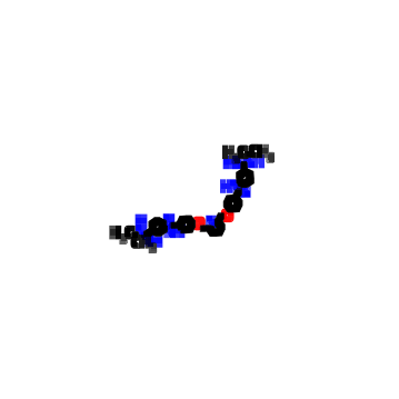 CC(C)NC(=N)c1ccc2nc(-c3ccc(OCc4cccc(COc5ccc(-c6nc7ccc(C(=N)NC(C)C)cc7[nH]6)cc5)n4)cc3)[nH]c2c1